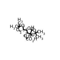 CC1(C)O[C@@H]2O[C@@H]([C@@H]3COC(C)(C)O3)[C@@H](OC(=O)O)[C@@H]2O1